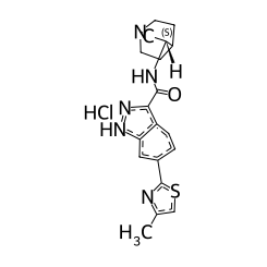 Cc1csc(-c2ccc3c(C(=O)N[C@@H]4CN5CCC4CC5)n[nH]c3c2)n1.Cl